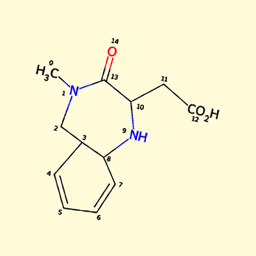 CN1CC2C=CC=CC2NC(CC(=O)O)C1=O